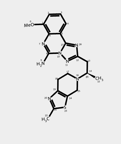 COc1cccc2c1nc(N)n1nc(C[C@@H](C)N3CCc4nc(C)sc4C3)nc21